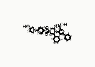 O=C(O)c1sc(-c2ccccc2)cc1N1C(=O)CN(S(=O)(=O)c2ccc(N3CCC(O)C3)nc2)CC1C1CCCCC1